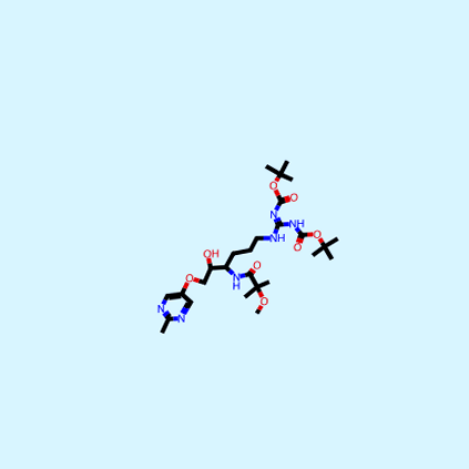 COC(C)(C)C(=O)NC(CCCNC(=NC(=O)OC(C)(C)C)NC(=O)OC(C)(C)C)C(O)COc1cnc(C)nc1